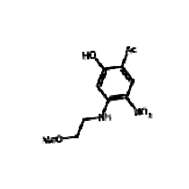 COCCNc1cc(O)c(C(C)=O)cc1[N+](=O)[O-]